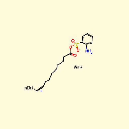 CCCCCCCC/C=C\CCCCCCCC(=O)OS(=O)(=O)c1ccccc1N.[NaH]